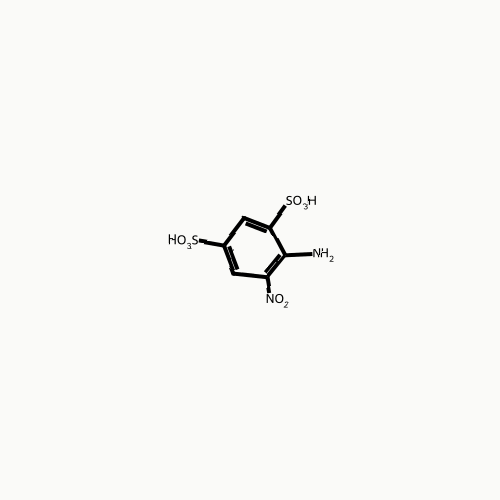 Nc1c([N+](=O)[O-])cc(S(=O)(=O)O)cc1S(=O)(=O)O